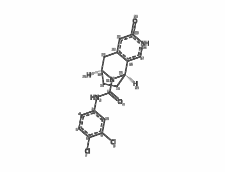 O=C(Nc1ccc(Cl)c(Cl)c1)N1[C@H]2CC[C@@H]1c1c[nH]c(=O)cc1C2